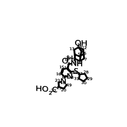 O=C(N[C@H]1C2CC3CC1C[C@](O)(C3)C2)c1ccc(N2CC[C@@H](C(=O)O)C2)nc1SC1CCCC1